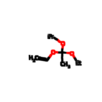 [CH2]C(C)OC(C)(OC=C)OCC